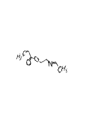 C=CC(=O)OCCN=CC